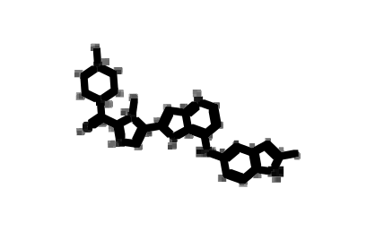 Cc1cc2cc(Nc3ccnc4cc(-c5cnc(C(=O)N6CCN(C)CC6)n5C)sc34)ccc2[nH]1